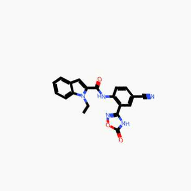 CCn1c(C(=O)Nc2ccc(C#N)cc2-c2noc(=O)[nH]2)cc2ccccc21